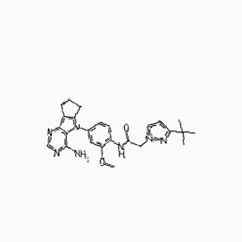 COc1cc(-n2c3c(c4ncnc(N)c42)CCC3)ccc1NC(=O)Cn1ccc(C(C)(C)C)n1